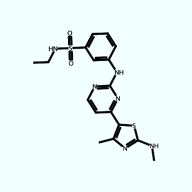 CCNS(=O)(=O)c1cccc(Nc2nccc(-c3sc(NC)nc3C)n2)c1